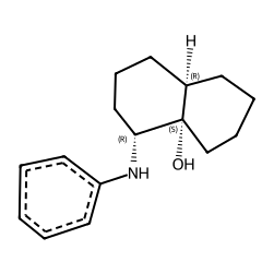 O[C@@]12CCCC[C@@H]1CCC[C@H]2Nc1ccccc1